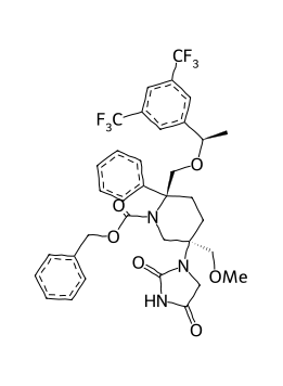 COC[C@@]1(N2CC(=O)NC2=O)CC[C@@](CO[C@H](C)c2cc(C(F)(F)F)cc(C(F)(F)F)c2)(c2ccccc2)N(C(=O)OCc2ccccc2)C1